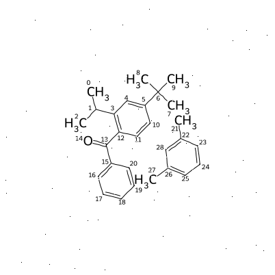 CC(C)c1cc(C(C)(C)C)ccc1C(=O)c1ccccc1.Cc1cccc(C)c1